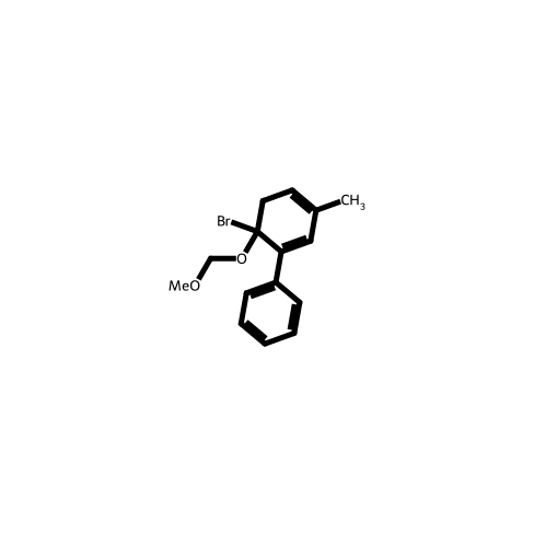 COCOC1(Br)CC=C(C)C=C1c1ccccc1